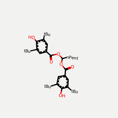 CCCCCC(OC(=O)c1cc(C(C)(C)C)c(O)c(C(C)(C)C)c1)OC(=O)c1cc(C(C)(C)C)c(O)c(C(C)(C)C)c1